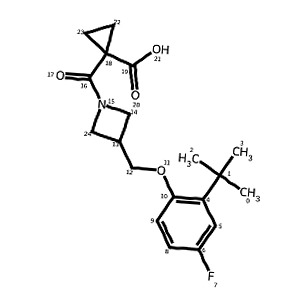 CC(C)(C)c1cc(F)ccc1OCC1CN(C(=O)C2(C(=O)O)CC2)C1